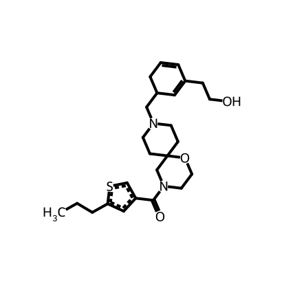 CCCc1cc(C(=O)N2CCOC3(CCN(CC4C=C(CCO)C=CC4)CC3)C2)cs1